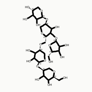 OC[C@@H]1O[C@@H](OC2C(O)[C@H](O[C@@H]3OC[C@@H](O)C(O)C3O)CO[C@H]2CO[C@@H]2CO[C@@H](O[C@H]3CO[C@@H](CO)C(O)C3O)C(O)C2O)C(O)C1O